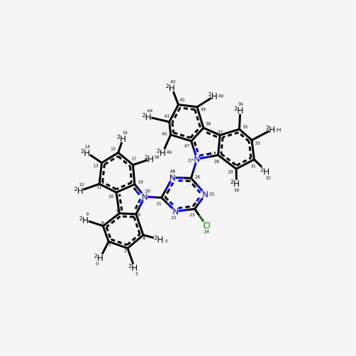 [2H]c1c([2H])c([2H])c2c(c1[2H])c1c([2H])c([2H])c([2H])c([2H])c1n2-c1nc(Cl)nc(-n2c3c([2H])c([2H])c([2H])c([2H])c3c3c([2H])c([2H])c([2H])c([2H])c32)n1